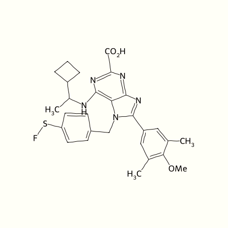 COc1c(C)cc(-c2nc3nc(C(=O)O)nc(NC(C)C4CCC4)c3n2Cc2ccc(SF)cc2)cc1C